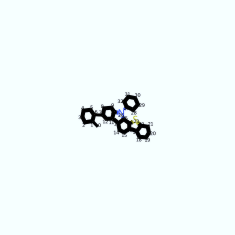 Cc1ccccc1-c1ccc2c(c1)c1ccc3c4ccccc4sc3c1n2-c1ccccc1